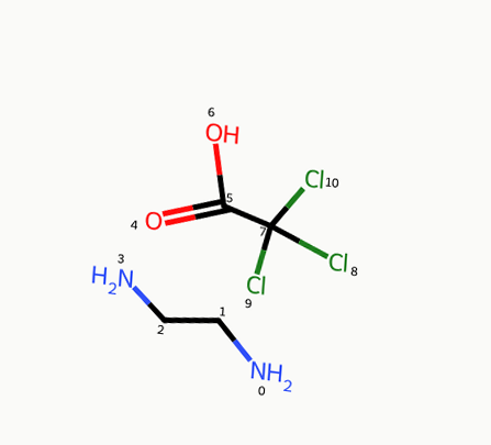 NCCN.O=C(O)C(Cl)(Cl)Cl